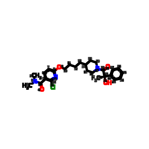 CN(C)C(=O)c1ccc(OCCCCC2CCN(C(=O)[C@@](O)(c3ccccc3)C(F)(F)F)CC2)nc1Cl